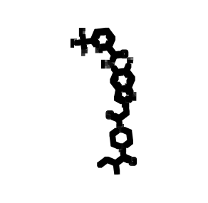 CCC(C)C(=O)N1CCN(C(=O)Cn2cc3cc(NC(=O)c4cccc(C(F)(F)F)n4)c(F)cc3n2)CC1